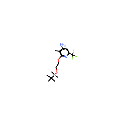 Cc1c(N)cc(C(F)(F)F)nc1OCCO[Si](C)(C)C(C)(C)C